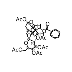 CC(=O)OC[C@H]1O[C@@H](O[C@@]23C[C@H]4[C@@]5(OC(C)=O)C[C@]2(C)O[C@H](O5)[C@]43COC(=O)c2ccccc2)[C@H](OC(C)=O)[C@@H](OC(C)=O)[C@@H]1OC(C)=O